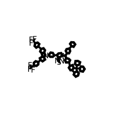 FC(F)(F)c1ccc(-c2ccc3c(c2)c2cc(-c4ccc(C(F)(F)F)cc4)ccc2n3-c2ccc(-c3ccc(N(c4ccc(-c5ccccc5)cc4)c4ccc(-c5ccc6c(c5)C(c5ccccc5)(c5ccccc5)c5ccccc5-6)cc4)c4nsnc34)cc2)cc1